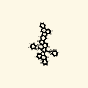 c1ccc2c(c1)cc1c3c(cccc32)-c2cc3c(ccc4c3ccc3c(-c5nc6ccccc6o5)c5c(c(-c6nc7ccccc7o6)c34)-c3cccc4c3c-5cc3ccccc34)cc2-1